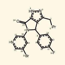 CC(C)Cc1n[nH]c2c1C(c1ccc(F)cc1)N(c1cncc(Br)c1)C2=O